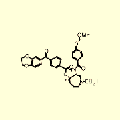 COCOc1ccc(C(=O)N[C@@H]2CN(C(=O)O)CCC[C@H]2OC(=O)c2ccc(C(=O)c3ccc4c(c3)OCCO4)cc2)cc1